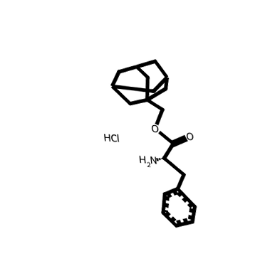 Cl.N[C@@H](Cc1ccccc1)C(=O)OCC12CC3CC(CC(C3)C1)C2